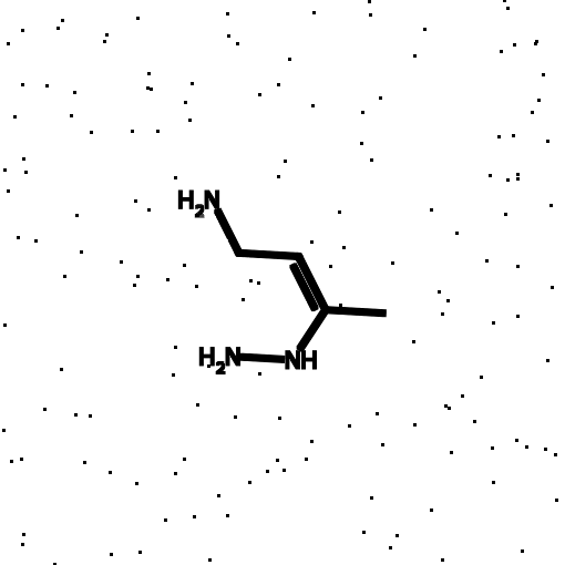 CC(=CCN)NN